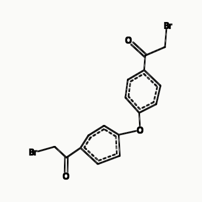 O=C(CBr)c1ccc(Oc2ccc(C(=O)CBr)cc2)cc1